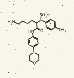 Cc1ccc(N(C(CCCCN)C(=O)Nc2ccc(N3CCOCC3)cc2)S(=O)(=O)O)cc1